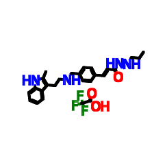 CCCNNC(=O)/C=C/c1ccc(CNCCc2c(C)[nH]c3ccccc23)cc1.O=C(O)C(F)(F)F